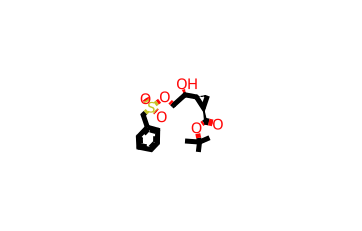 CC(C)(C)OC(=O)[C@@H]1C[C@H]1[C@H](O)COS(=O)(=O)Cc1ccccc1